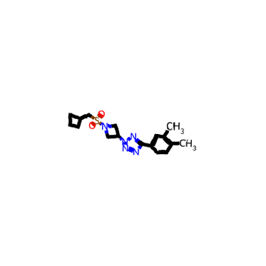 Cc1ccc(-c2nnn(C3CN(S(=O)(=O)CC4CCC4)C3)n2)cc1C